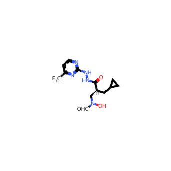 O=CN(O)C[C@H](CC1CC1)C(=O)NNc1nccc(C(F)(F)F)n1